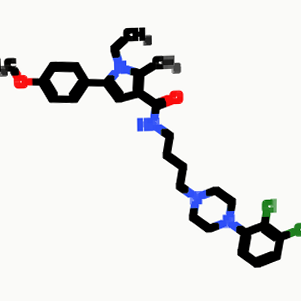 CCn1c(-c2ccc(OC)cc2)cc(C(=O)NCCCCN2CCN(c3cccc(Cl)c3Cl)CC2)c1C